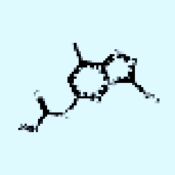 CNC(=O)Oc1cc(C)c2nnc(N)n2n1